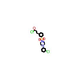 O=C(Cl)C=Cc1cccc(S(=O)(=O)N2CCN(c3cccc(Cl)c3)CC2)c1